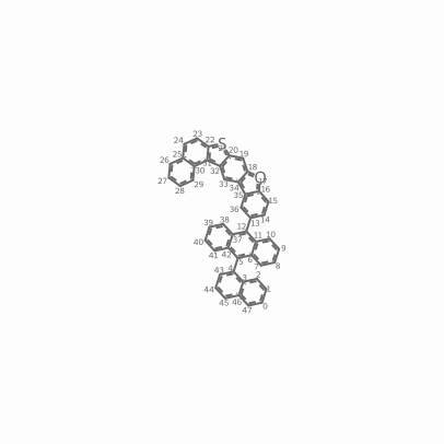 c1ccc2c(-c3c4ccccc4c(-c4ccc5oc6cc7sc8ccc9ccccc9c8c7cc6c5c4)c4ccccc34)cccc2c1